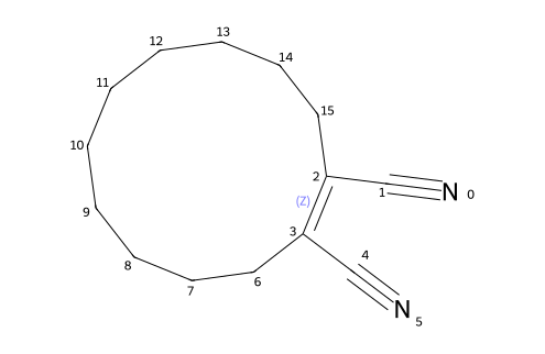 N#C/C1=C(\C#N)CCCCCCCCCC1